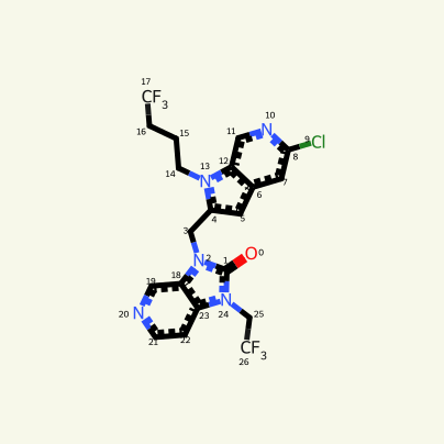 O=c1n(Cc2cc3cc(Cl)ncc3n2CCCC(F)(F)F)c2cnccc2n1CC(F)(F)F